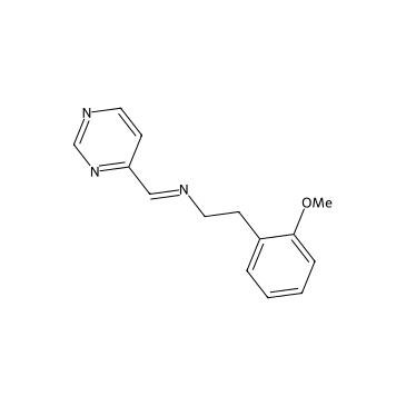 COc1ccccc1CCN=Cc1ccncn1